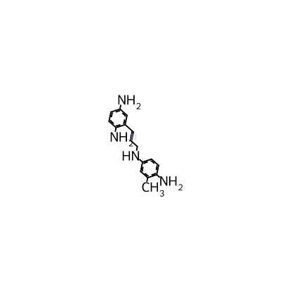 Cc1cc(NC/C=C/c2cc(N)ccc2N)ccc1N